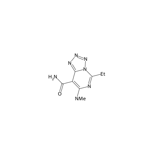 CCc1nc(NC)c(C(N)=O)c2nnnn12